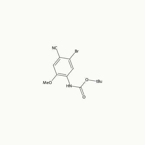 COc1cc(C#N)c(Br)cc1NC(=O)OC(C)(C)C